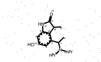 CCCN(CCC)C(C)c1cccc2c1C(C)C(=O)N2.Cl